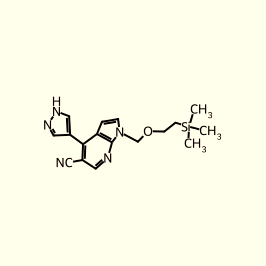 C[Si](C)(C)CCOCn1ccc2c(-c3cn[nH]c3)c(C#N)cnc21